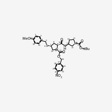 COc1ccc(CS[C@H]2C[C@@H](C(=O)NC3CCN(C(=O)OC(C)(C)C)C3)N(C(=O)OCc3ccc([N+](=O)[O-])cc3)C2)cc1